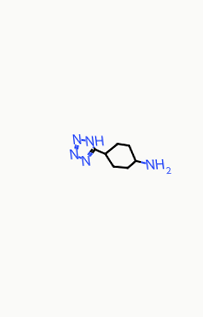 NC1CCC(c2nnn[nH]2)CC1